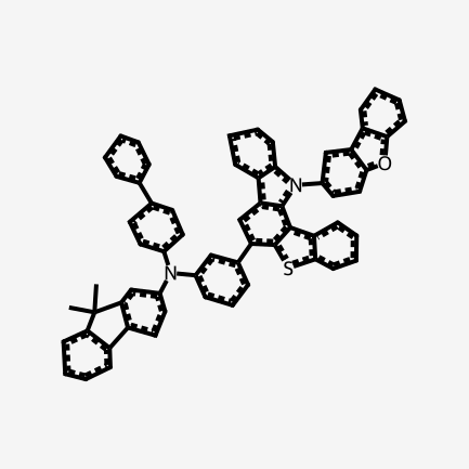 CC1(C)c2ccccc2-c2ccc(N(c3ccc(-c4ccccc4)cc3)c3cccc(-c4cc5c6ccccc6n(-c6ccc7oc8ccccc8c7c6)c5c5c4sc4ccccc45)c3)cc21